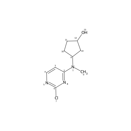 CN(c1ccnc(Cl)n1)C1CCC(O)C1